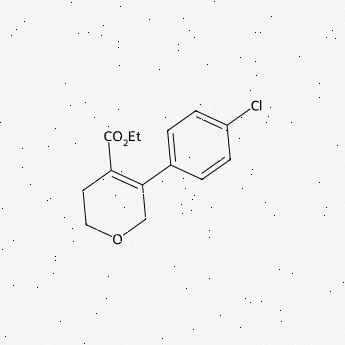 CCOC(=O)C1=C(c2ccc(Cl)cc2)COCC1